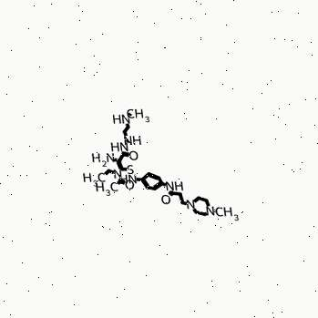 CCN(C(C)=O)/C(SNc1ccc(NC(=O)CCN2CCN(C)CC2)cc1)=C(\N)C(=O)NNCCNC